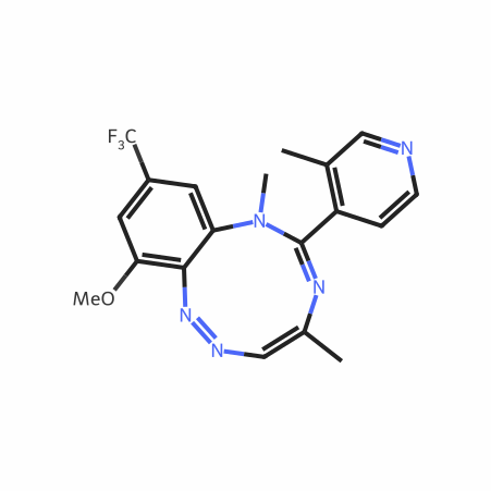 COc1cc(C(F)(F)F)cc2c1nncc(C)nc(-c1ccncc1C)n2C